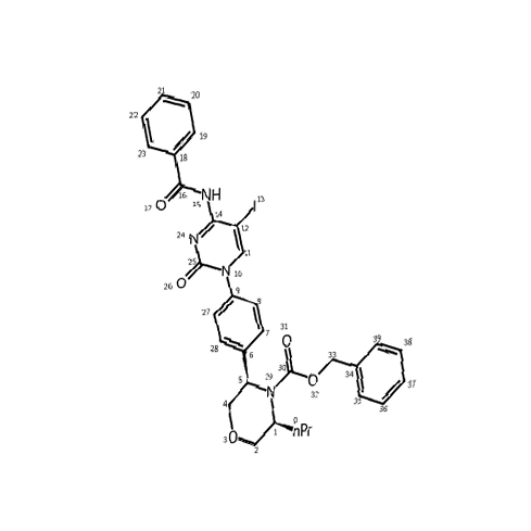 CCC[C@H]1COC[C@@H](c2ccc(-n3cc(I)c(NC(=O)c4ccccc4)nc3=O)cc2)N1C(=O)OCc1ccccc1